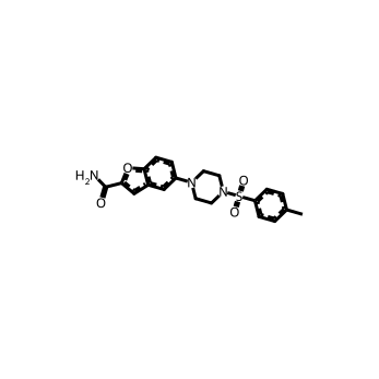 Cc1ccc(S(=O)(=O)N2CCN(c3ccc4oc(C(N)=O)cc4c3)CC2)cc1